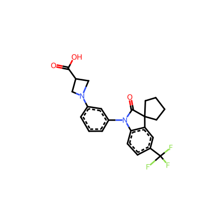 O=C(O)C1CN(c2cccc(N3C(=O)C4(CCCC4)c4cc(C(F)(F)F)ccc43)c2)C1